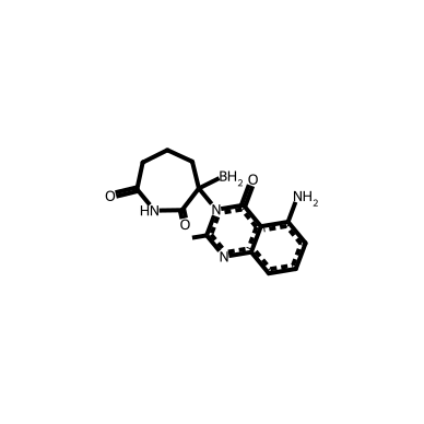 BC1(n2c(C)nc3cccc(N)c3c2=O)CCCC(=O)NC1=O